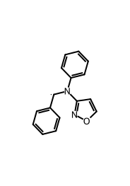 [CH](c1ccccc1)N(c1ccccc1)c1ccon1